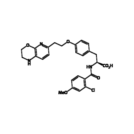 COc1ccc(C(=O)N[C@@H](Cc2ccc(OCCc3ccc4c(n3)OCCN4)cc2)C(=O)O)c(Cl)c1